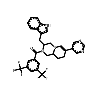 O=C(c1cc(C(F)(F)F)cc(C(F)(F)F)c1)N1CC2CCC(c3cncnc3)=CN2CC1Cc1c[nH]c2ccccc12